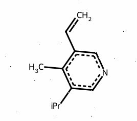 C=Cc1cncc(C(C)C)c1C